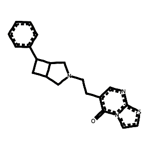 O=c1c(CCN2CC3CC(c4ccccc4)C3C2)cnc2sccn12